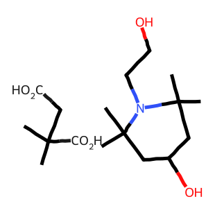 CC(C)(CC(=O)O)C(=O)O.CC1(C)CC(O)CC(C)(C)N1CCO